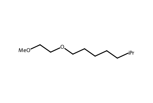 COCCOCCCCCC(C)C